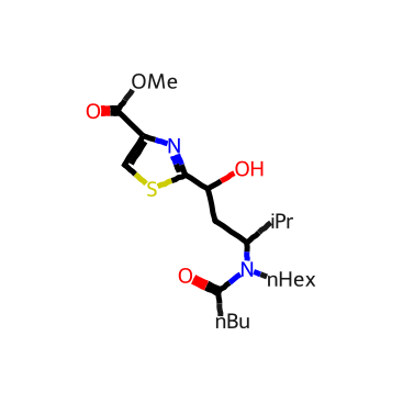 CCCCCCN(C(=O)CCCC)C(CC(O)c1nc(C(=O)OC)cs1)C(C)C